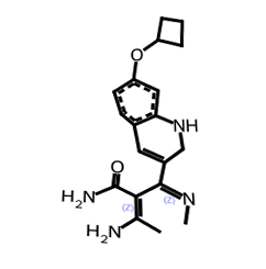 C/N=C(C1=Cc2ccc(OC3CCC3)cc2NC1)\C(C(N)=O)=C(/C)N